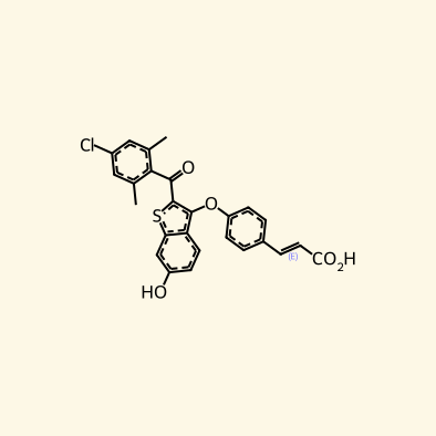 Cc1cc(Cl)cc(C)c1C(=O)c1sc2cc(O)ccc2c1Oc1ccc(/C=C/C(=O)O)cc1